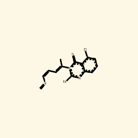 C=N/C=C\C=C(/C)n1c(CC)nc2cccc(Cl)c2c1=O